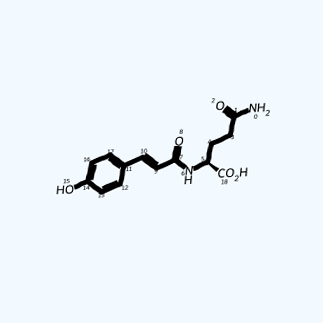 NC(=O)CC[C@H](NC(=O)/C=C/c1ccc(O)cc1)C(=O)O